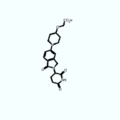 O=C(O)COC1CCN(c2ccc3c(c2)CN(C2CCC(=O)NC2=O)C3=O)CC1